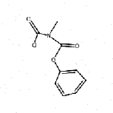 CN(C(=O)Cl)C(=O)Oc1ccccc1